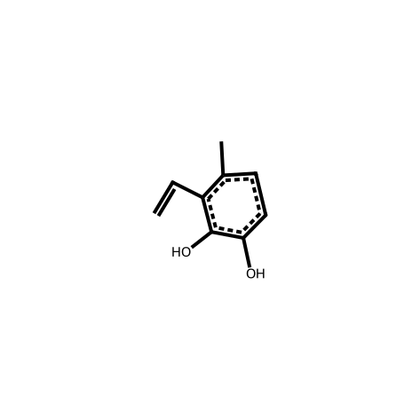 C=Cc1c(C)ccc(O)c1O